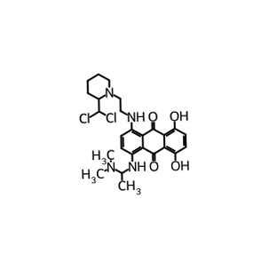 CC(Nc1ccc(NCCN2CCCCC2C(Cl)Cl)c2c1C(=O)c1c(O)ccc(O)c1C2=O)N(C)C